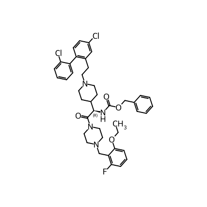 CCOc1cccc(F)c1CN1CCN(C(=O)[C@H](NC(=O)OCc2ccccc2)C2CCN(CCc3cc(Cl)ccc3-c3ccccc3Cl)CC2)CC1